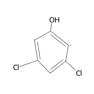 Oc1[c]c(Cl)cc(Cl)c1